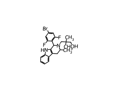 CC1Cc2c([nH]c3ccccc23)C(c2c(F)cc(Br)cc2F)N1CC(C)(C)CO